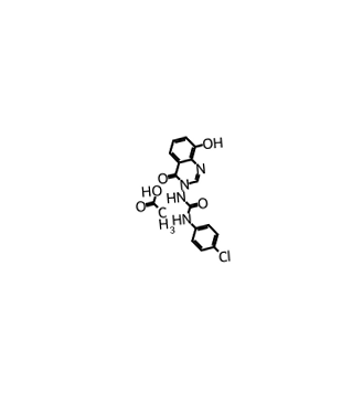 CC(=O)O.O=C(Nc1ccc(Cl)cc1)Nn1cnc2c(O)cccc2c1=O